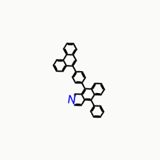 c1ccc(-c2c3ccccc3c(-c3ccc(-c4cc5ccccc5c5ccccc45)cc3)c3cnccc23)cc1